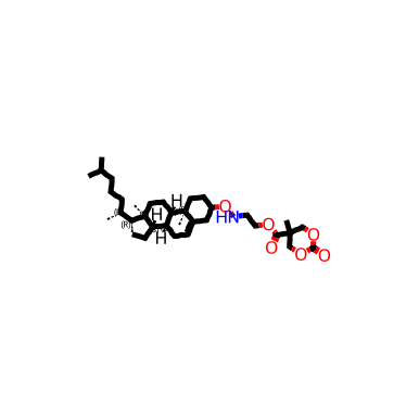 CC(C)CCC[C@@H](C)[C@H]1CC[C@H]2[C@@H]3CC=C4CC(ONCCOC(=O)C5(C)COC(=O)OC5)CC[C@]4(C)[C@H]3CC[C@]12C